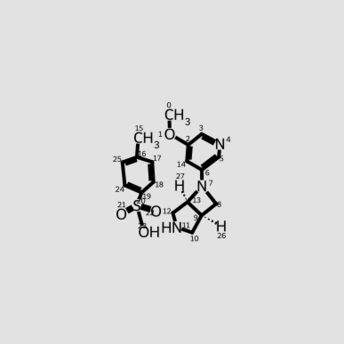 COc1cncc(N2C[C@H]3CNC[C@H]32)c1.Cc1ccc(S(=O)(=O)O)cc1